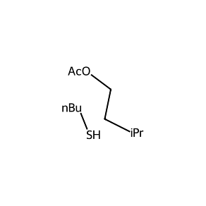 CC(=O)OCCC(C)C.CCCCS